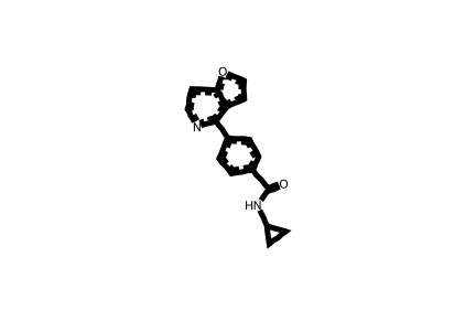 O=C(NC1CC1)c1ccc(-c2nccc3occc23)cc1